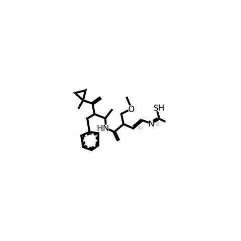 C=C(NC(C)C(Cc1ccccc1)C(=C)C1(C)CC1)C(/C=C/N=C(/C)S)COC